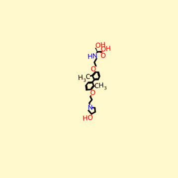 Cc1c(OCCCN[C@@H](CO)C(=O)O)cccc1-c1cccc(OCCCN2CC[C@@H](O)C2)c1C